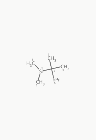 CCCC(C)(C)[Si](C)C